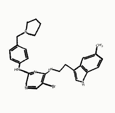 Cc1ccc2[nH]cc(CCNc3nc(Nc4ccc(CN5CCCC5)cc4)ncc3Br)c2c1